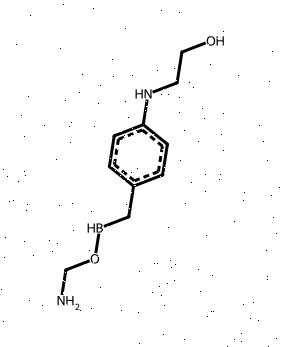 NCOBCc1ccc(NCCO)cc1